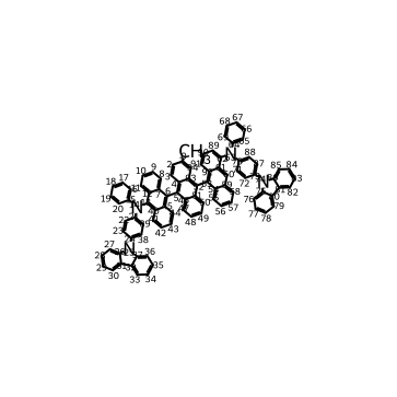 Cc1ccc2c(-c3c4ccccc4c(N(c4ccccc4)c4ccc(-n5c6ccccc6c6ccccc65)cc4)c4ccccc34)c3ccccc3c(-c3c4ccccc4cc4c(N(c5ccccc5)c5ccc(-n6c7ccccc7c7ccccc76)cc5)cccc34)c2c1